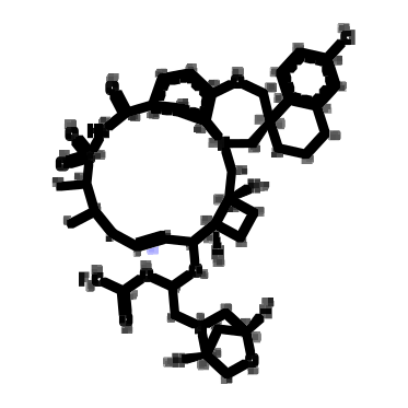 CC1C/C=C/C(OC(CN2C[C@H]3C[C@@H]2CO3)OC(=O)C(F)(F)F)[C@@H]2CC[C@H]2CN2C[C@@]3(CCCc4cc(Cl)ccc43)COc3ccc(cc32)C(=O)NS(=O)(=O)C1C